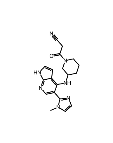 Cn1ccnc1-c1cnc2[nH]ccc2c1NC1CCCN(C(=O)CC#N)C1